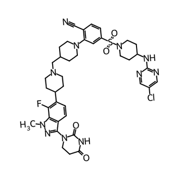 Cn1nc(N2CCC(=O)NC2=O)c2ccc(C3CCN(CC4CCN(c5cc(S(=O)(=O)N6CCC(Nc7ncc(Cl)cn7)CC6)ccc5C#N)CC4)CC3)c(F)c21